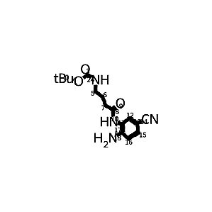 CC(C)(C)OC(=O)NCCCC(=O)Nc1cc(C#N)ccc1N